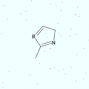 CC1=NCC=B1